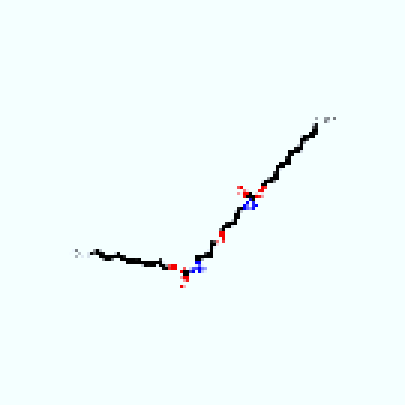 CCCCCCCCCCCCCCCCCCOC(=O)NCCCOCCCNC(=O)OCCCCCCCCCCCCCCCCCC